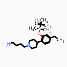 CCc1ccc(C2CCN(CCCCN)CC2)c(O[Si](C)(C)C(C)(C)C)c1